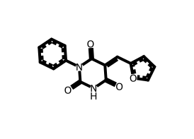 O=C1NC(=O)N(c2ccccc2)C(=O)/C1=C/c1ccco1